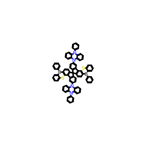 c1ccc(B2c3ccccc3Sc3c2ccc2c3-c3cc(N4c5ccccc5N(c5ccccc5)c5ccccc54)ccc3C23c2ccc(N4c5ccccc5N(c5ccccc5)c5ccccc54)cc2-c2c3ccc3c2Sc2ccccc2B3c2ccccc2)cc1